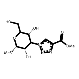 COC(=O)c1cn(C2[C@@H](O)C(CO)O[C@@H](SC)[C@H]2O)nn1